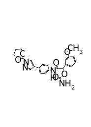 COc1cccc(C(OC(N)=O)C(=O)Nc2ccc(-c3cnn(C4CCCCO4)c3)cc2)c1